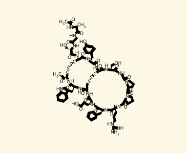 CC(=O)N[C@@H](C)C(=O)NCC(=O)N[C@@H](CO)C(=O)N[C@H]1CSSC[C@@H](C(C)=O)NC(=O)[C@H](Cc2c[nH]c3ccccc23)NC(=O)[C@@H]2CSSC[C@H](NC(=O)[C@H](Cc3ccc(O)cc3)NC1=O)C(=O)N[C@@H](CO)C(=O)NCC(=O)N1CCC[C@H]1C(=O)N1CCC[C@H]1C(=O)N[C@@H](CCCNC(=N)N)C(=O)N[C@@H](Cc1ccccc1)C(=O)N[C@@H](CCC(=O)O)C(=O)N2